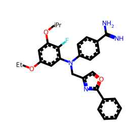 CCOc1cc(OC(C)C)c(F)c(N(Cc2coc(-c3ccccc3)n2)c2ccc(C(=N)N)cc2)c1